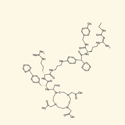 CCNC(=O)/N=C(/N)NCCC[C@@H](NC(=O)C(c1ccccc1)c1ccc(NCCCNC(=O)[C@@H](CCCNC(=N)N)NC(=O)[C@@H](Cc2ccc(-c3ccccc3)cc2)NC(C=O)N2CCN(CC(=O)O)CCN(CC(=O)O)CCN(CC(=O)O)CC2)cc1)C(=O)NCc1ccc(O)cc1